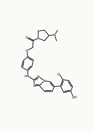 CN(C)C1CCN(C(=O)COc2ccc(Nc3nc4ccc(-c5cc(O)ccc5Cl)cn4n3)cc2)C1